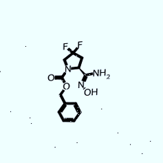 NC(=NO)[C@@H]1CC(F)(F)CN1C(=O)OCc1ccccc1